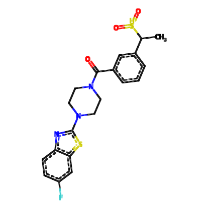 CC(c1cccc(C(=O)N2CCN(c3nc4ccc(F)cc4s3)CC2)c1)[SH](=O)=O